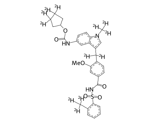 [2H]C([2H])([2H])c1ccccc1S(=O)(=O)NC(=O)c1ccc(C([2H])([2H])c2cn(C([2H])([2H])[2H])c3ccc(NC(=O)OC4CC([2H])([2H])C([2H])([2H])C4)cc23)c(OC)c1